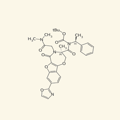 C[C@@H](c1ccccc1)N(C(=O)OC(C)(C)C)C(=O)[C@@]1(C)COc2c(oc3cc(-c4ncco4)ccc23)C(=O)N1CC(=O)N(C)C